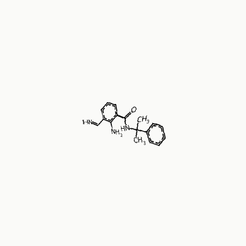 CC(C)(NC(=O)c1cccc(C=N)c1N)c1ccccc1